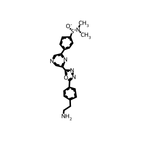 CN(C)[S+]([O-])c1ccc(-c2cncc(-c3nnc(-c4ccc(CCN)cc4)o3)n2)cc1